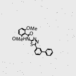 COc1cccc(OC)c1C(=O)Nc1nnc(-c2cccc(-c3ccccc3)c2)s1